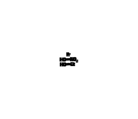 CCO.O=[N+]([O-])O.[Er]